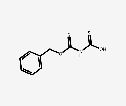 OC(=S)NC(=S)OCc1ccccc1